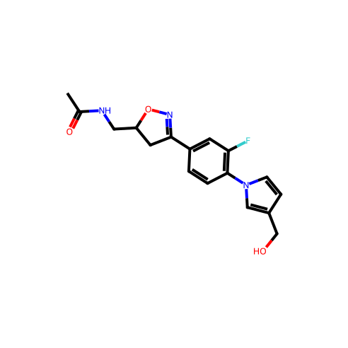 CC(=O)NCC1CC(c2ccc(-n3ccc(CO)c3)c(F)c2)=NO1